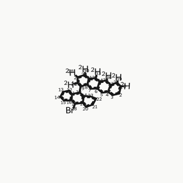 [2H]c1ccc2cc3cc4c(-c5c6ccccc6c(Br)c6ccccc56)c([2H])c([2H])c([2H])c4c([2H])c3c([2H])c2c1[2H]